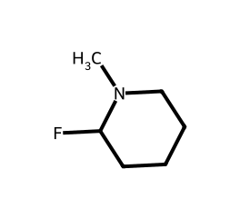 CN1CCCCC1F